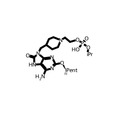 CCC[C@H](C)Oc1nc(N)c2[nH]c(=O)n(CC3CCN(CCOP(=O)(O)OC(C)C)CC3)c2n1